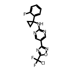 Fc1ccccc1C1(Nc2ncc(-c3noc(C(F)(F)Cl)n3)cn2)CC1